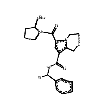 CC[C@@H](NC(=O)c1cc(C(=O)N2CCCC2C(C)(C)C)n2c1COCC2)c1ccccc1